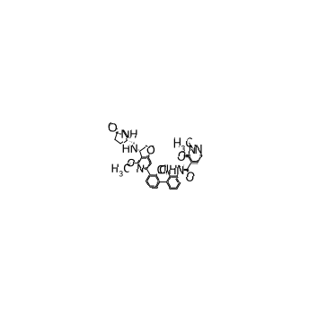 COc1nc(-c2cccc(-c3cccc(NC(=O)c4ccnn(C)c4=O)c3Cl)c2Cl)cc2c1[C@H](NC[C@@H]1CCC(=O)N1)CO2